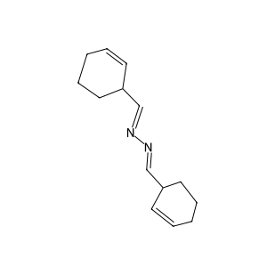 C1=CC(C=NN=CC2C=CCCC2)CCC1